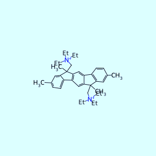 CC[N+](CC)(CC)CC1(C)c2cc(C)ccc2-c2cc3c(cc21)-c1ccc(C)cc1C3(C)C[N+](CC)(CC)CC